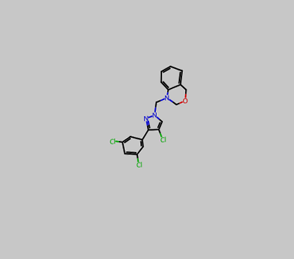 Clc1cc(Cl)cc(-c2nn(CN3COCc4ccccc43)cc2Cl)c1